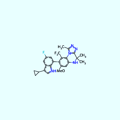 COc1cc2c(c(C(F)(F)F)c1-c1cc(F)cc3c(C4CC4)c[nH]c13)-n1c(C)nnc1C(C)(C)N2